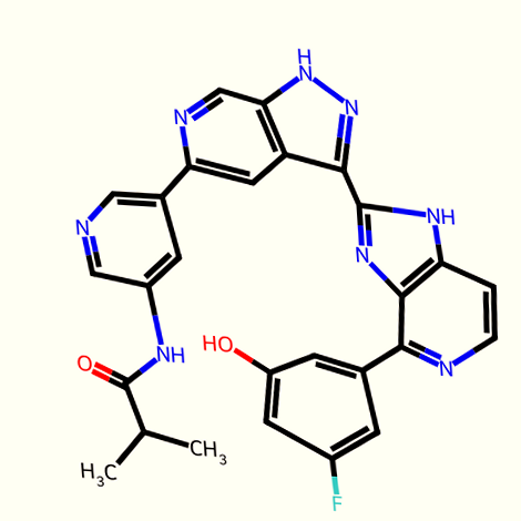 CC(C)C(=O)Nc1cncc(-c2cc3c(-c4nc5c(-c6cc(O)cc(F)c6)nccc5[nH]4)n[nH]c3cn2)c1